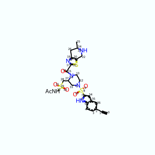 C#Cc1ccc2[nH]c(S(=O)(=O)N3CCN(C(=O)c4nc5c(s4)CNC(C)C5)C(CS(=O)(=O)NC(C)=O)C3)cc2c1